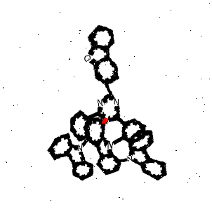 c1ccc(-c2nc(-c3ccc4c(c3)oc3ccccc34)nc(-c3ccccc3-n3c4cccc(-n5c6ccccc6c6ccccc65)c4c4cccc(-n5c6ccccc6c6ccccc65)c43)n2)cc1